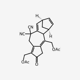 CC(=O)OCC1=C2CC(C#N)(C#N)C3=C[C@H]4C=C[C@H](C4)C3C(COC(C)=O)=C2CC1=O